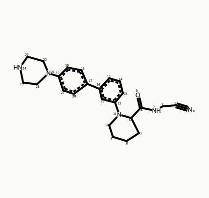 N#CCNC(=O)C1CCCCN1c1cccc(-c2ccc(N3CCNCC3)cc2)c1